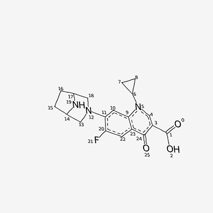 O=C(O)c1cn(C2CC2)c2cc(N3CC4CCC(C3)N4)c(F)cc2c1=O